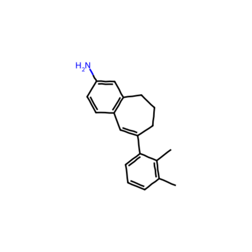 Cc1cccc(C2=Cc3ccc(N)cc3CCC2)c1C